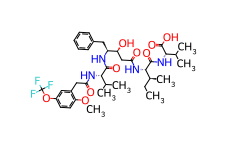 CC[C@H](C)[C@H](NC(=O)C[C@H](O)[C@H](Cc1ccccc1)NC(=O)[C@@H](NC(=O)Cc1cc(OC(F)(F)F)ccc1OC)C(C)C)C(=O)N[C@H](C(=O)O)C(C)C